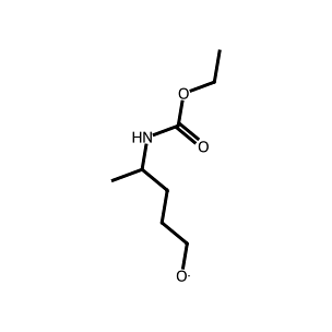 CCOC(=O)NC(C)CCC[O]